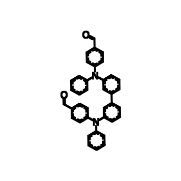 O=Cc1ccc(N(c2ccccc2)c2cccc(-c3cccc(N(c4ccccc4)c4ccc(C=O)cc4)c3)c2)cc1